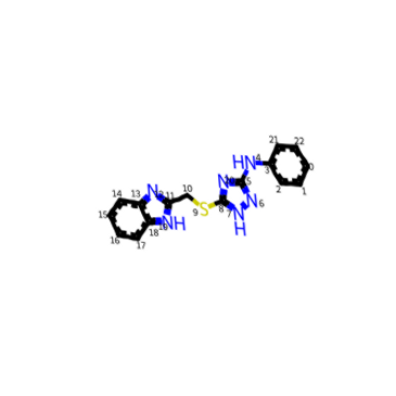 c1ccc(Nc2n[nH]c(SCc3nc4ccccc4[nH]3)n2)cc1